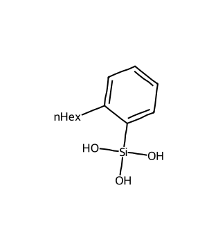 CCCCCCc1ccccc1[Si](O)(O)O